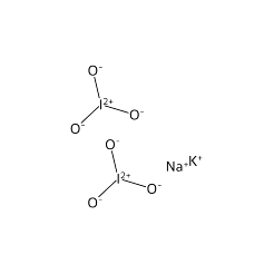 [K+].[Na+].[O-][I+2]([O-])[O-].[O-][I+2]([O-])[O-]